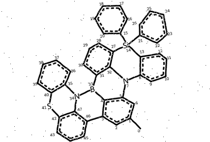 Cc1cc2c3c(c1)N1c4ccccc4[Si](c4ccccc4)(c4ccccc4)c4cccc(c41)B3N1c3ccccc3Sc3cccc-2c31